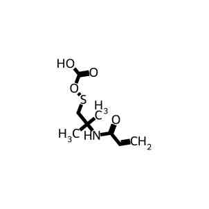 C=CC(=O)NC(C)(C)CSOC(=O)O